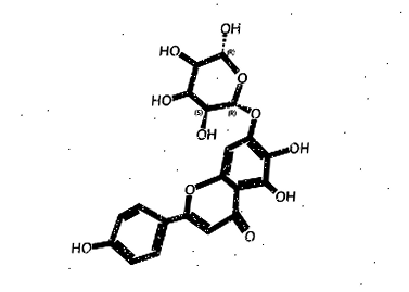 O=c1cc(-c2ccc(O)cc2)oc2cc(O[C@@H]3O[C@@H](O)C(O)C(O)[C@@H]3O)c(O)c(O)c12